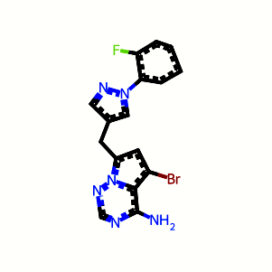 Nc1ncnn2c(Cc3cnn(-c4ccccc4F)c3)cc(Br)c12